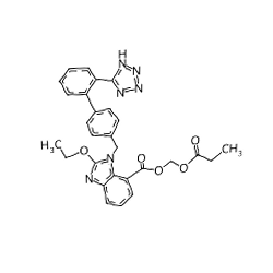 CCOc1nc2cccc(C(=O)OCOC(=O)CC)c2n1Cc1ccc(-c2ccccc2-c2nnn[nH]2)cc1